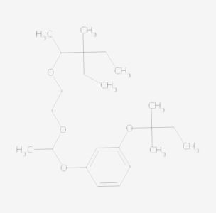 CCC(C)(C)Oc1cccc(OC(C)OCCOC(C)C(C)(CC)CC)c1